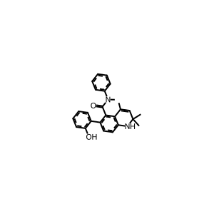 CC1=CC(C)(C)Nc2ccc(-c3ccccc3O)c(C(=O)N(C)c3ccccc3)c21